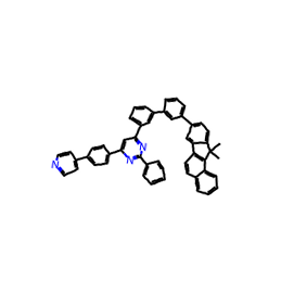 CC1(C)c2ccc(-c3cccc(-c4cccc(-c5cc(-c6ccc(-c7ccncc7)cc6)nc(-c6ccccc6)n5)c4)c3)cc2-c2ccc3ccccc3c21